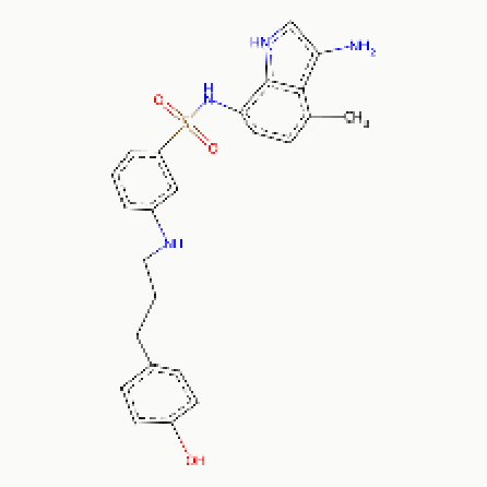 Cc1ccc(NS(=O)(=O)c2cccc(NCCCc3ccc(O)cc3)c2)c2[nH]cc(N)c12